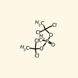 CC(Cl)(Cl)OP(C)(=O)OC(C)(Cl)Cl